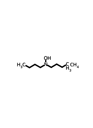 C.CCCCN(O)CCCC